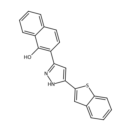 Oc1c(-c2cc(-c3cc4ccccc4s3)[nH]n2)ccc2ccccc12